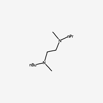 CCCCN(C)CCN(C)CCC